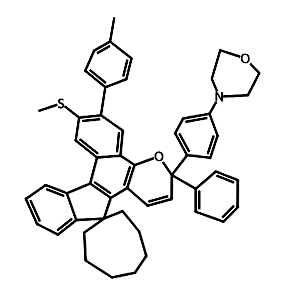 CSc1cc2c3c(c4c(c2cc1-c1ccc(C)cc1)OC(c1ccccc1)(c1ccc(N2CCOCC2)cc1)C=C4)C1(CCCCCCC1)c1ccccc1-3